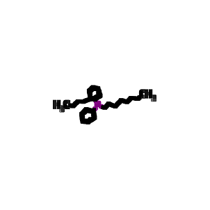 CCCCCCCCP(c1ccccc1)c1ccccc1CCCC